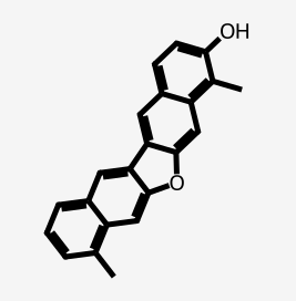 Cc1cccc2cc3c(cc12)oc1cc2c(C)c(O)ccc2cc13